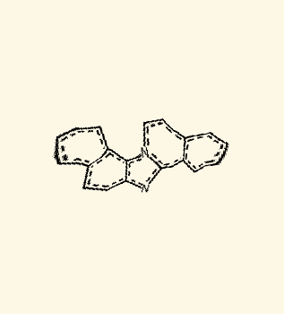 c1ccc2c(c1)ccn1c2nc2ccc3ccccc3c21